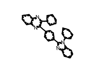 c1ccc(-c2nc3ccccc3nc2-c2ccc(-c3nc4ccccc4n3-c3ccccc3)cc2)cc1